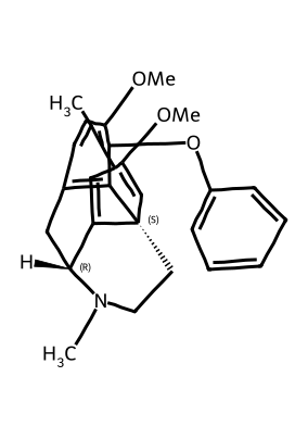 COC1=C[C@]23CCN(C)[C@H](Cc4ccc(OC)c(Oc5ccccc5)c42)C3=CC1C